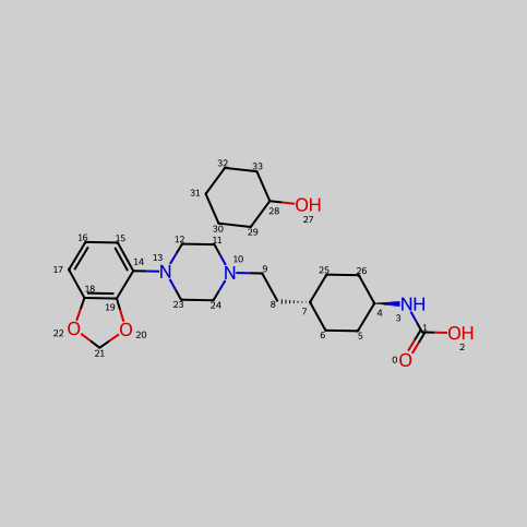 O=C(O)N[C@H]1CC[C@H](CCN2CCN(c3cccc4c3OCO4)CC2)CC1.OC1CCCCC1